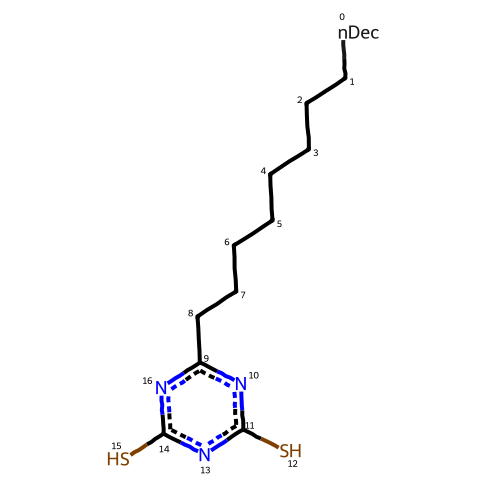 CCCCCCCCCCCCCCCCCCc1nc(S)nc(S)n1